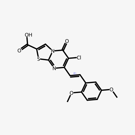 COc1ccc(OC)c(/C=C/c2nc3sc(C(=O)O)cn3c(=O)c2Cl)c1